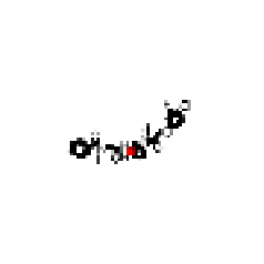 O=C(CNC(=O)c1ccccc1)N[C@@H]1CC2(NC(=O)COc3ccc(Cl)c(F)c3)CC1C2